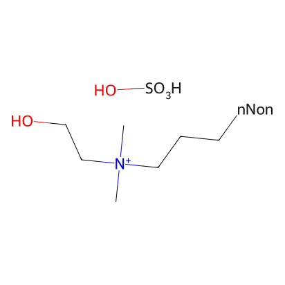 CCCCCCCCCCCC[N+](C)(C)CCO.O=S(=O)(O)O